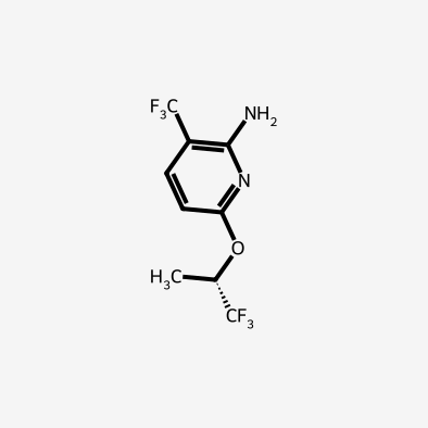 C[C@H](Oc1ccc(C(F)(F)F)c(N)n1)C(F)(F)F